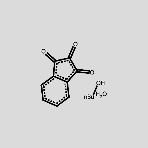 CCCCO.O.O=c1c(=O)c2ccccc2c1=O